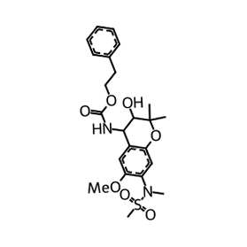 COc1cc2c(cc1N(C)S(C)(=O)=O)OC(C)(C)C(O)C2NC(=O)OCCc1ccccc1